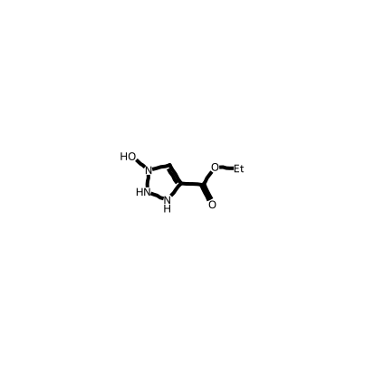 CCOC(=O)C1=CN(O)NN1